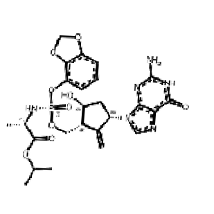 C=C1[C@H](CO[P@@](=O)(N[C@@H](C)C(=O)OC(C)C)Oc2cccc3c2OCO3)[C@@H](O)C[C@@H]1n1cnc2c(=O)[nH]c(N)nc21